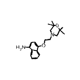 CC1(C)CN(CCOc2ccc(N)c3ccccc23)CC(C)(C)O1